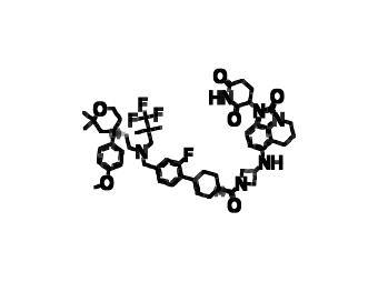 COc1ccc([C@]2(CCN(Cc3ccc(C4=CC[C@H](C(=O)N5CC(Nc6ccc7c8c6CCCn8c(=O)n7C6CCC(=O)NC6=O)C5)CC4)c(F)c3)CC(C)(C)C(F)(F)F)CCOC(C)(C)C2)cc1